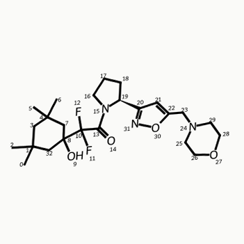 CC1(C)CC(C)(C)CC(O)(C(F)(F)C(=O)N2CCC[C@H]2c2cc(CN3CCOCC3)on2)C1